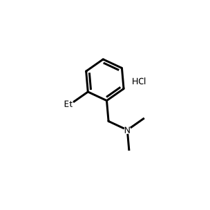 CCc1ccccc1CN(C)C.Cl